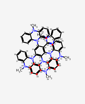 CN1c2ccccc2N(c2cc(N3c4ccccc4N(C)c4ccccc43)c(N3c4ccccc4N(C)c4ccccc43)c(N3c4ccccc4N(C)c4ccccc43)c2-c2nc3ccccc3n2C)c2ccccc21